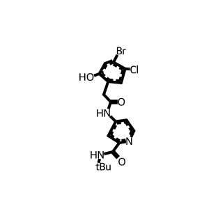 CC(C)(C)NC(=O)c1cc(NC(=O)Cc2cc(Cl)c(Br)cc2O)ccn1